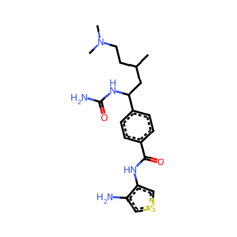 CC(CCN(C)C)CC(NC(N)=O)c1ccc(C(=O)Nc2cscc2N)cc1